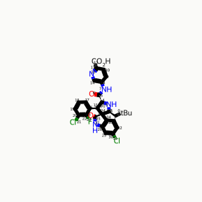 CC(C)(C)C[C@@H]1N[C@@H](C(=O)Nc2ccc(C(=O)O)nc2)[C@H](c2cccc(Cl)c2F)[C@]12C(=O)Nc1cc(Cl)ccc12